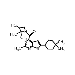 Cc1nc(C(=O)N2CC(O)C2(C)C)c2cc(C3CCC(C)(C)CC3)sc2n1